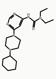 CCN(CC)C(=O)Nc1cc(N2CCN(C3CCCCC3)CC2)ncn1